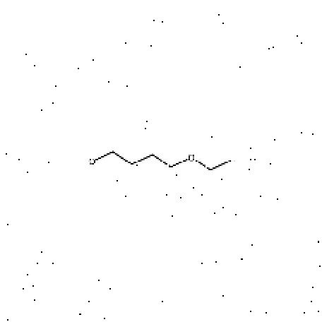 [CH2]COCCCC[O]